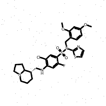 COc1ccc(CN(c2nccs2)S(=O)(=O)c2cc(Cl)c(NC[C@@H]3CCCN4CCCC34)cc2F)c(OC)c1